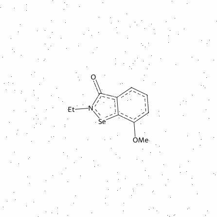 CCn1[se]c2c(OC)cccc2c1=O